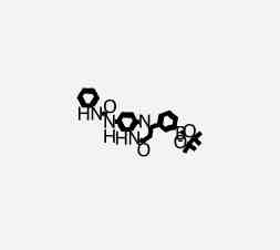 CC1(C)OB(c2cccc(C3=Nc4ccc(NC(=O)Nc5ccccc5)cc4NC(=O)C3)c2)OC1(C)C